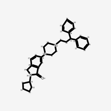 O=C1c2cc(N3CCN(CCC(c4ccccc4)c4ccccc4)CC3)ccc2CN1C1CCCC1